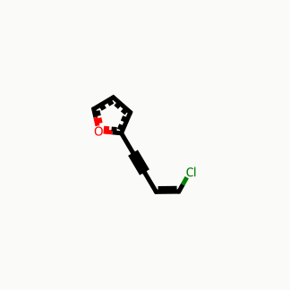 Cl/C=C\C#Cc1ccco1